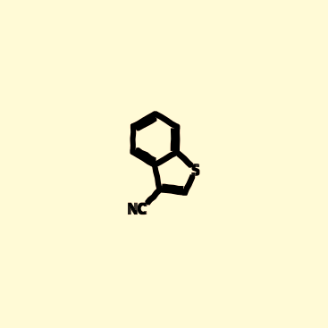 N#Cc1csc2ccccc12